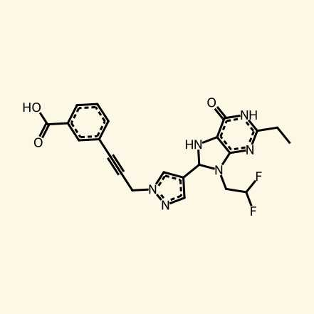 CCc1nc2c(c(=O)[nH]1)NC(c1cnn(CC#Cc3cccc(C(=O)O)c3)c1)N2CC(F)F